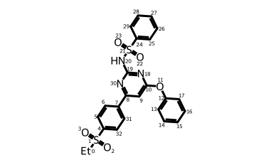 CCS(=O)(=O)c1ccc(-c2cc(Oc3ccccc3)nc(NS(=O)(=O)c3ccccc3)n2)cc1